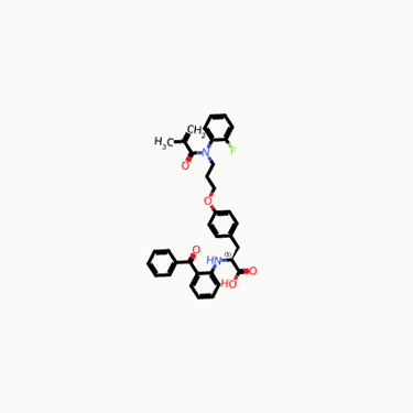 C=C(C)C(=O)N(CCCOc1ccc(C[C@H](Nc2ccccc2C(=O)c2ccccc2)C(=O)O)cc1)c1ccccc1F